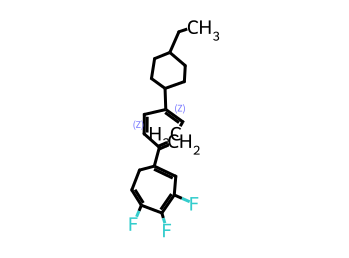 C=C(/C=C\C(=C/C)C1CCC(CC)CC1)C1=CC(F)=C(F)C(F)=CC1